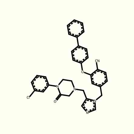 N#Cc1ccc(Cn2cncc2CN2CCN(c3cccc(Cl)c3)C(=O)C2)cc1Oc1ccc(-c2ccccc2)cc1